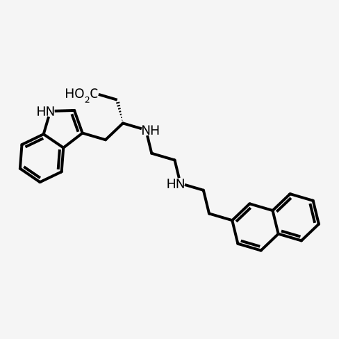 O=C(O)C[C@@H](Cc1c[nH]c2ccccc12)NCCNCCc1ccc2ccccc2c1